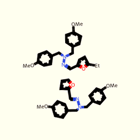 CCc1ccc(/C=N\N(Cc2ccc(OC)cc2)Cc2ccc(OC)cc2)o1.COc1ccc(CN(Cc2ccc(OC)cc2)/N=C/c2ccco2)cc1